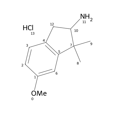 COc1ccc2c(c1)C(C)(C)C(N)C2.Cl